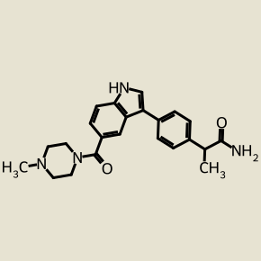 CC(C(N)=O)c1ccc(-c2c[nH]c3ccc(C(=O)N4CCN(C)CC4)cc23)cc1